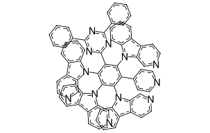 c1ccc(-c2nc(-c3ccccc3)nc(-c3c(-n4c5ccccc5c5ccncc54)c(-c4ccncc4)c(-n4c5ccccc5c5ccncc54)c(-n4c5ccccc5c5ccncc54)c3-n3c4ccccc4c4ccncc43)n2)cc1